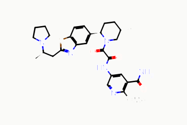 COc1ncc(NC(=O)C(=O)N2C[C@@H](C)CC[C@@H]2c2ccc3sc(C[C@@H](C)N4CCCC4)nc3c2)cc1C(N)=O